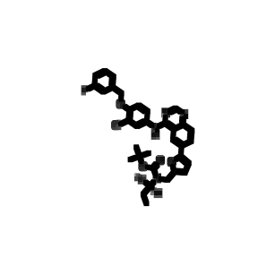 [2H]C([2H])(CC)N(Cc1ccc(-c2ccc3ncnc(Nc4ccc(OCc5cccc(F)c5)c(Cl)c4)c3c2)o1)C(=O)OC(C)(C)C